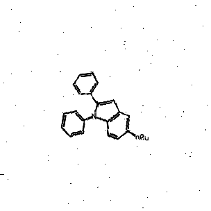 CCCCc1ccc2c(c1)cc(-c1ccccc1)n2-c1ccccc1